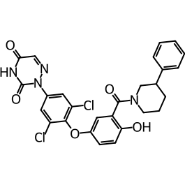 O=C(c1cc(Oc2c(Cl)cc(-n3ncc(=O)[nH]c3=O)cc2Cl)ccc1O)N1CCCC(c2ccccc2)C1